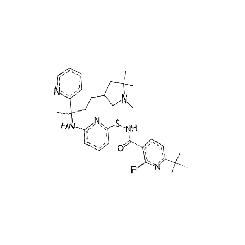 CN1CC(CCC(C)(Nc2cccc(SNC(=O)c3ccc(C(C)(C)C)nc3F)n2)c2ccccn2)CC1(C)C